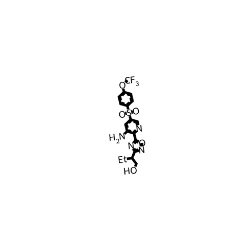 CCC(CO)c1noc(-c2ncc(S(=O)(=O)c3ccc(OC(F)(F)F)cc3)cc2N)n1